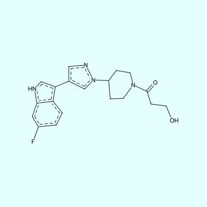 O=C(CCO)N1CCC(n2cc(-c3c[nH]c4cc(F)ccc34)cn2)CC1